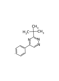 CC(C)(C)c1nncc(-c2cc[c]cc2)n1